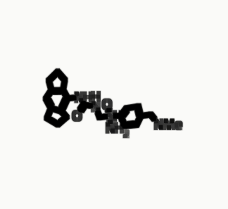 CNCc1ccc([SH](N)(=O)CNC(=O)Nc2c3c(cc4c2CCC4)CCC3)cc1